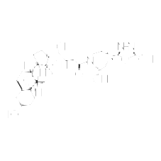 Cc1nnc(N2CCN(C(=O)CCC(C)[C@H]3CC[C@H]4[C@@H]5CC=C6C[C@@H](O)CC[C@]6(C)[C@H]5CC[C@]34C)[C@@H](C)C2)o1